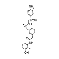 Cc1c(O)cccc1NC(=O)Cc1cccc(C[C@@H](C)NC[C@H](O)c2ccc(N)nc2)c1